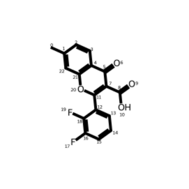 Cc1ccc2c(=O)c(C(=O)O)c(-c3cccc(F)c3F)oc2c1